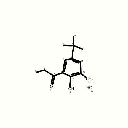 CCC(=O)c1cc(C(C)(C)C)cc(N)c1O.Cl